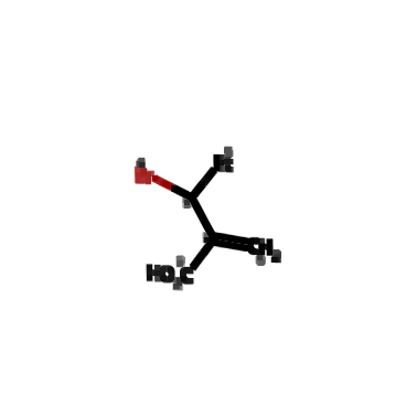 C=C(C(=O)O)C(Br)CC